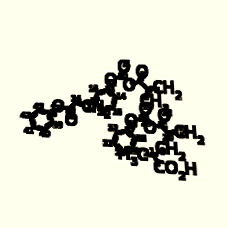 C=C(C)C(=O)O.C=C(C)C(=O)OC(=O)Oc1ccccc1.C=CC(=O)OC(=O)Oc1ccccc1.C=CC(=O)Oc1ccccc1